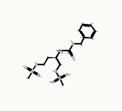 CS(=O)(=O)OCC[C@H](COS(C)(=O)=O)NC(=O)OCc1ccccc1